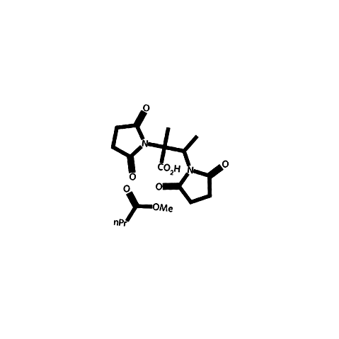 CC(N1C(=O)CCC1=O)C(C)(C(=O)O)N1C(=O)CCC1=O.CCCC(=O)OC